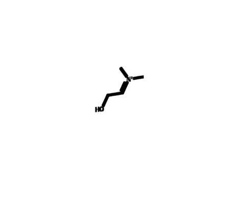 C[N+](C)=CCO